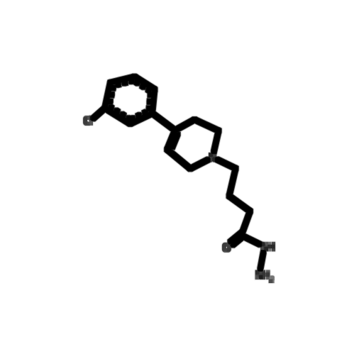 NNC(=O)CCCN1CC=C(c2cccc(Cl)c2)CC1